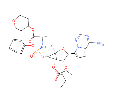 CCC(=O)O[C@H]1[C@H](c2ccc3c(N)ncnn23)O[C@]2(C)C(O[P@@](=O)(N[C@@H](C)C(=O)OC3CCOCC3)Oc3ccccc3)[C@]12OC(=O)CC